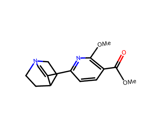 COC(=O)c1ccc(C2=CN3CCC2CC3)nc1OC